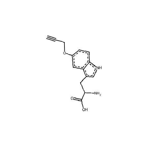 C#CCOc1ccc2[nH]cc(CC(N)C(=O)O)c2c1